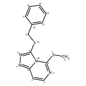 CSc1nccc2nnc(SCc3ccccc3)n12